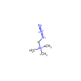 C[N+](C)(C)CN=[N+]=[N-]